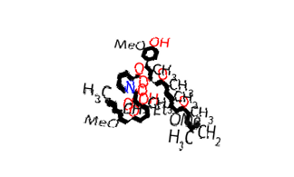 C=C[C@@H](C)C[C@@H](C)C(=O)[C@H](OC)[C@H](CC)/C(C)=C/[C@@H](C)C(=O)C[C@H](OC(=O)[C@@H]1CCCCN1C(=O)C(=O)[C@]1(O)O[C@H](C[C@H](OC)/C(C)=C/C=C/C)CC[C@H]1C)[C@H](C)C[C@@H]1CC[C@@H](O)[C@H](OC)C1